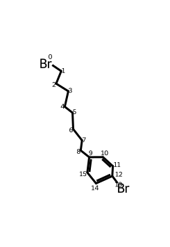 BrCCCCCCCCc1ccc(Br)cc1